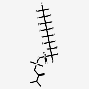 CC(C)C(=O)CS(C)(C)OS(=O)(=O)C(F)(F)C(F)(F)C(F)(F)C(F)(F)C(F)(F)C(F)(F)C(F)(F)C(F)(F)F